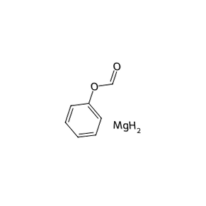 O=COc1ccccc1.[MgH2]